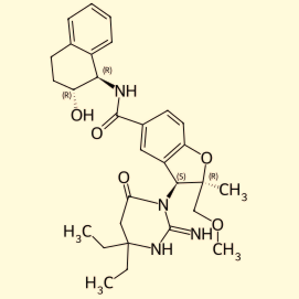 CCC1(CC)CC(=O)N([C@H]2c3cc(C(=O)N[C@@H]4c5ccccc5CC[C@H]4O)ccc3O[C@@]2(C)COC)C(=N)N1